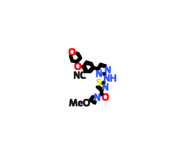 COC1CN(C(=O)c2csc(Nc3nccc(-c4ccc(OC5CCOCC5)c(C#N)c4)n3)n2)C1